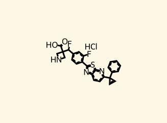 Cl.O=C(O)C1(C(F)c2ccc(-c3nc4ccc(C5(c6ccccc6)C=C5)nc4s3)c(F)c2)CNC1